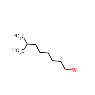 O=C(O)C(CCCCCCO)C(=O)O